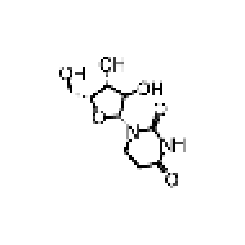 O=C1CCN([C@@H]2O[C@H](CO)[C@H](O)C2O)C(=O)N1